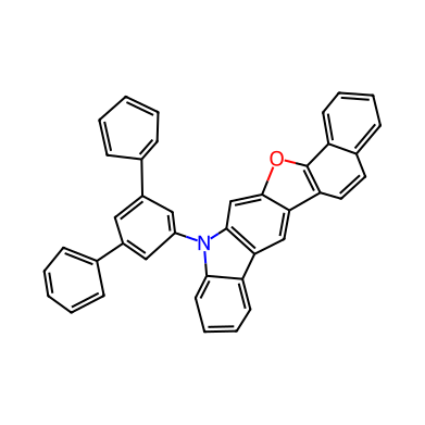 c1ccc(-c2cc(-c3ccccc3)cc(-n3c4ccccc4c4cc5c(cc43)oc3c4ccccc4ccc53)c2)cc1